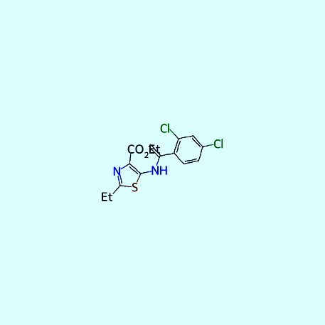 C=C(Nc1sc(CC)nc1C(=O)OCC)c1ccc(Cl)cc1Cl